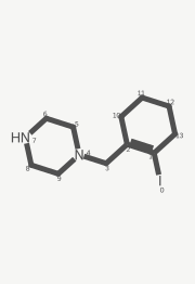 IC1=C(CN2CCNCC2)CCCC1